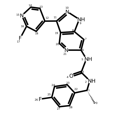 C[C@@H](NC(=O)Nc1cc2[nH]nc(-c3ccnc(F)c3)c2cn1)c1ccc(F)cc1